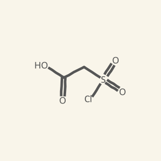 O=C(O)CS(=O)(=O)Cl